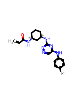 C=CC(=O)N[C@H]1CCC[C@@H](Nc2nncc(Nc3ccc(C(C)C)cc3)n2)C1